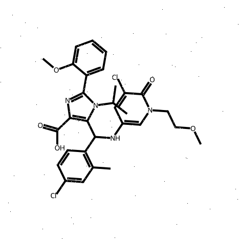 COCCn1cc(NC(c2ccc(Cl)cc2C)c2c(C(=O)O)nc(-c3ccccc3OC)n2C(C)C)cc(Cl)c1=O